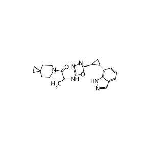 C[C@H](Nc1nnc([C@H]2C[C@@H]2c2cccc3cn[nH]c23)o1)C(=O)N1CCC2(CC1)CC2